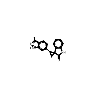 O=C1Nc2ccccc2C12C[C@H]2c1ccc2c(I)n[nH]c2c1